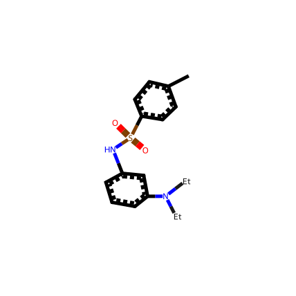 CCN(CC)c1cccc(NS(=O)(=O)c2ccc(C)cc2)c1